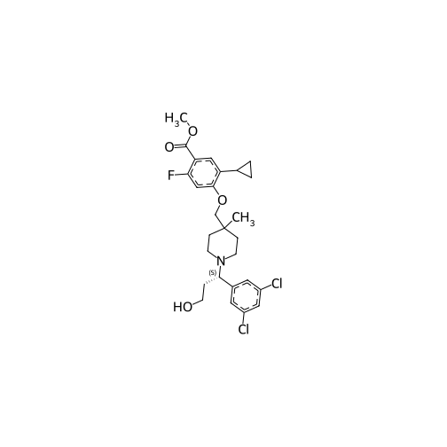 COC(=O)c1cc(C2CC2)c(OCC2(C)CCN([C@@H](CCO)c3cc(Cl)cc(Cl)c3)CC2)cc1F